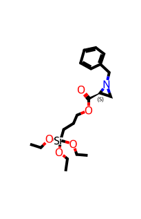 CCO[Si](CCCOC(=O)[C@@H]1CN1Cc1ccccc1)(OCC)OCC